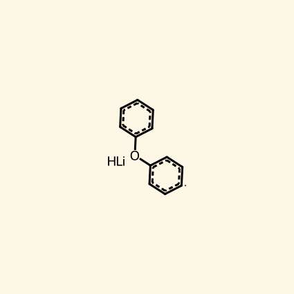 [LiH].[c]1ccc(Oc2ccccc2)cc1